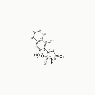 O=C1CN(c2c(O)cc3c(c2F)CCCC3)S(=O)(=O)N1